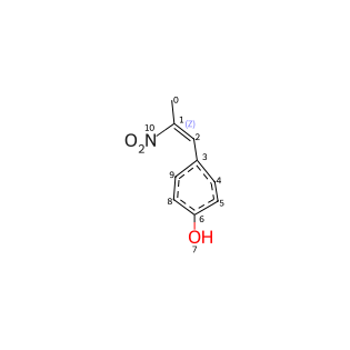 C/C(=C/c1ccc(O)cc1)[N+](=O)[O-]